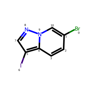 Brc1ccc2c(I)cnn2c1